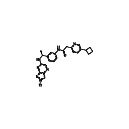 CCn1cc2ncc(N[C@@H](C)c3cccc(NC(=O)Cc4ccc(C5CCC5)cn4)c3)nc2n1